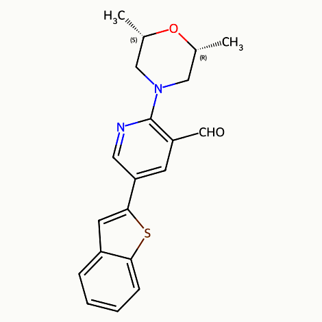 C[C@@H]1CN(c2ncc(-c3cc4ccccc4s3)cc2C=O)C[C@H](C)O1